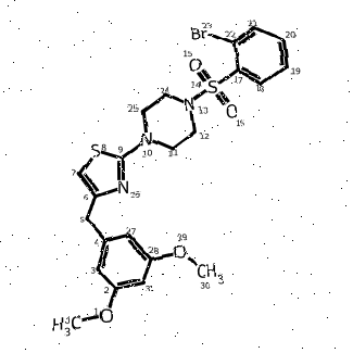 COc1cc(Cc2csc(N3CCN(S(=O)(=O)c4ccccc4Br)CC3)n2)cc(OC)c1